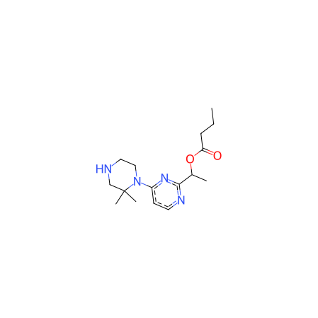 CCCC(=O)OC(C)c1nccc(N2CCNCC2(C)C)n1